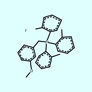 COc1cccc(C[P+](c2ccccc2C)(c2ccccc2C)c2ccccc2C)c1.[I-]